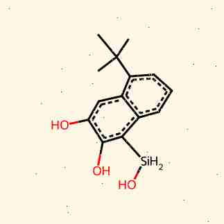 CC(C)(C)c1cccc2c([SiH2]O)c(O)c(O)cc12